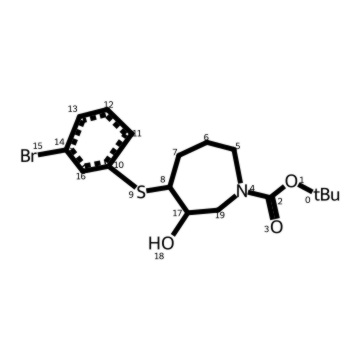 CC(C)(C)OC(=O)N1CCCC(Sc2cccc(Br)c2)C(O)C1